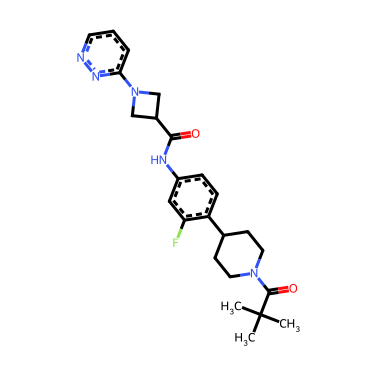 CC(C)(C)C(=O)N1CCC(c2ccc(NC(=O)C3CN(c4cccnn4)C3)cc2F)CC1